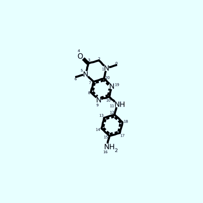 CN1CC(=O)N(C)c2cnc(Nc3ccc(N)cc3)nc21